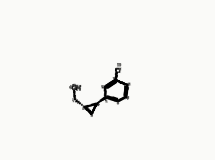 OC[C@H]1C[C@@H]1c1cccc(Cl)c1